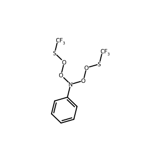 FC(F)(F)SOON(OOSC(F)(F)F)c1ccccc1